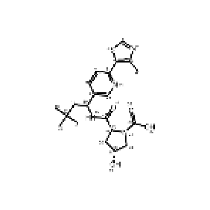 Cc1ncsc1-c1ccc(C(CC(C)(C)C)NC(=O)[C@@H]2C[C@@H](O)CN2C(=O)O)cn1